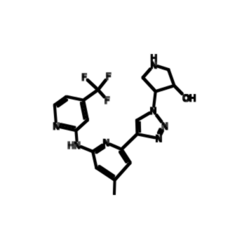 Cc1cc(Nc2cc(C(F)(F)F)ccn2)nc(-c2cn(C3CNCC3O)nn2)c1